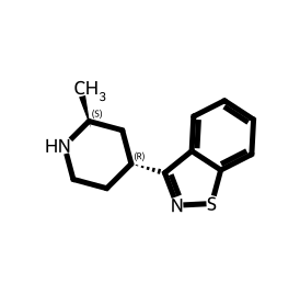 C[C@H]1C[C@H](c2nsc3ccccc23)CCN1